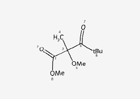 COC(=O)C(C)(OC)C(=O)C(C)(C)C